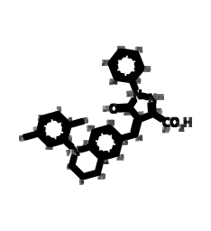 Cc1ccc(C)c(N2CCCc3cc(/C=C4\C(=O)N(c5ccccc5)N=C4C(=O)O)ccc32)c1